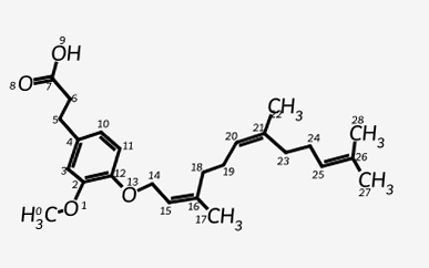 COc1cc(CCC(=O)O)ccc1OCC=C(C)CCC=C(C)CCC=C(C)C